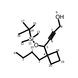 CCCCC1(C(C#CCO)O[Si](C)(C)C(C)(C)C)CCC1